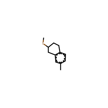 CSC1CCc2ccc(C)cc2C1